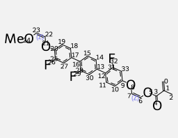 C=C(C)C(=O)O/C=C\Oc1ccc(-c2ccc(-c3ccc(O/C=C\OC)c(F)c3)c(F)c2)c(F)c1